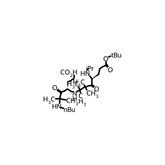 CCCCNC(C)(C)C(=O)[C@H](CCC(=O)O)NC(C)(C)C(C)(C)C(=O)[C@H](CCC(=O)OC(C)(C)C)NC(C)C